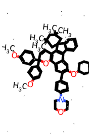 COc1ccc(C2(c3ccc(OC)cc3)C=Cc3c4c(c5cc(OC6CCCCC6)c(-c6ccc(N7CCOCC7)cc6)cc5c3O2)-c2ccccc2C42CC(C)(C)CC(C)(C)C2)cc1